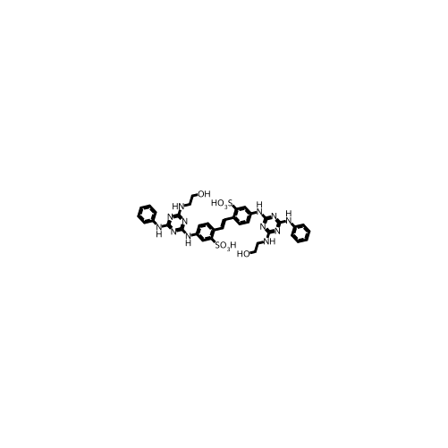 O=S(=O)(O)c1cc(Nc2nc(NCCO)nc(Nc3ccccc3)n2)ccc1C=Cc1ccc(Nc2nc(NCCO)nc(Nc3ccccc3)n2)cc1S(=O)(=O)O